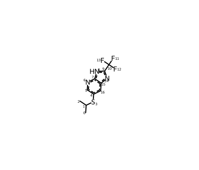 CC(C)Sc1cnc2[nH]c(C(F)(F)F)nc2c1